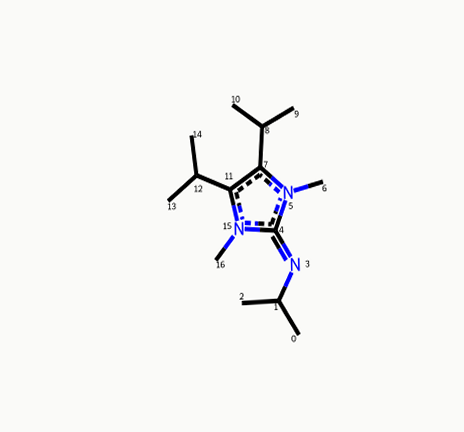 CC(C)N=c1n(C)c(C(C)C)c(C(C)C)n1C